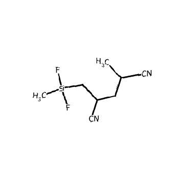 CC(C#N)CC(C#N)C[Si](C)(F)F